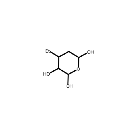 CCC1CC(O)OC(O)C1O